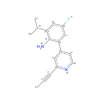 CC#Cc1cc(-c2cc(F)cc(C(C)C)c2N)ccn1